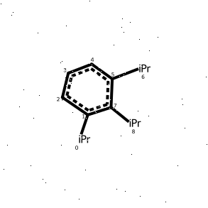 CC(C)c1[c]ccc(C(C)C)c1C(C)C